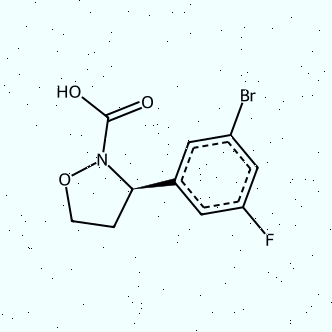 O=C(O)N1OCC[C@@H]1c1cc(F)cc(Br)c1